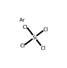 Cl[Si](Cl)(Cl)Cl.[Ar]